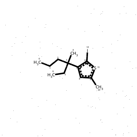 CCCC(C)(CC)c1cc(C)sc1I